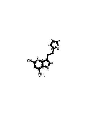 Nc1cc(Cl)nc2c(CCc3ccco3)csc12